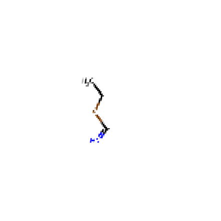 CCS[C]=N